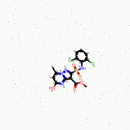 COC(=O)c1c(S(=O)(=O)Nc2c(Cl)cccc2Cl)nn2c(C)cc(O)nc12